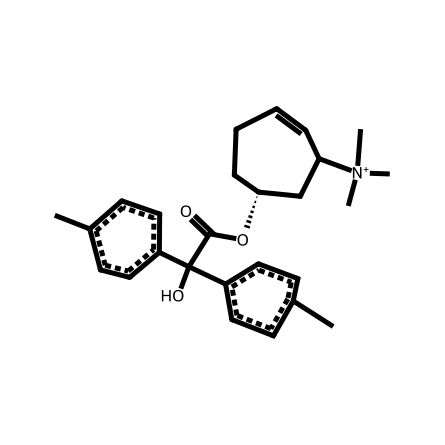 Cc1ccc(C(O)(C(=O)O[C@@H]2CCC=CC([N+](C)(C)C)C2)c2ccc(C)cc2)cc1